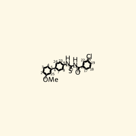 COc1cccc(-c2ccc(NC(=S)NC(=O)c3cccc(Cl)c3)cc2)c1